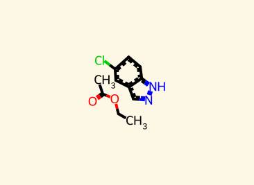 CCOC(C)=O.Clc1ccc2[nH]ncc2c1